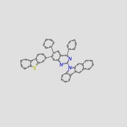 c1ccc(-c2cc3c(-c4ccccc4)nc(-n4c5ccccc5c5cc6ccccc6cc54)nc3cc2-c2ccc3c(c2)sc2ccccc23)cc1